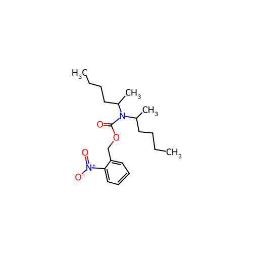 CCCCC(C)N(C(=O)OCc1ccccc1[N+](=O)[O-])C(C)CCCC